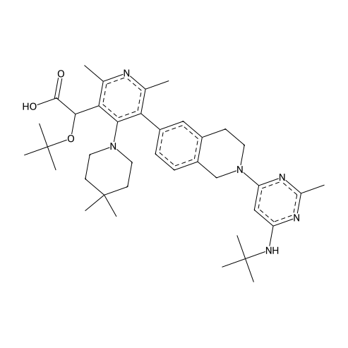 Cc1nc(NC(C)(C)C)cc(N2CCc3cc(-c4c(C)nc(C)c(C(OC(C)(C)C)C(=O)O)c4N4CCC(C)(C)CC4)ccc3C2)n1